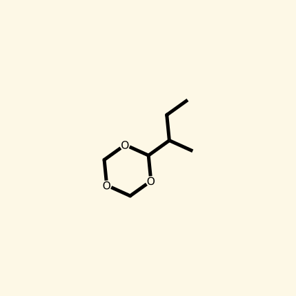 CCC(C)C1OCOCO1